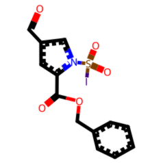 O=Cc1cc(C(=O)OCc2ccccc2)n(S(=O)(=O)I)c1